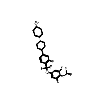 CC[C@H]1CC[C@H](C2CCC(c3ccc(C(F)(F)Oc4cc(F)c(OC(F)F)c(F)c4)c(F)c3)CC2)CC1